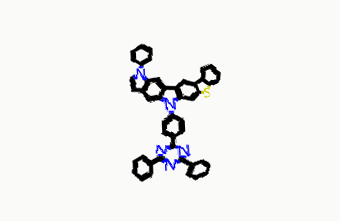 c1ccc(-c2nc(-c3ccccc3)nc(-c3ccc(-n4c5cc6ccn(-c7ccccc7)c6cc5c5cc6c(cc54)sc4ccccc46)cc3)n2)cc1